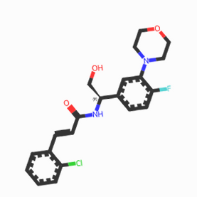 O=C(C=Cc1ccccc1Cl)N[C@@H](CO)c1ccc(F)c(N2CCOCC2)c1